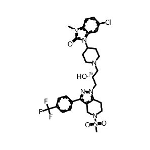 Cn1c(=O)n(C2CCN(C[C@@H](O)Cn3nc(-c4ccc(C(F)(F)F)cc4)c4c3CCN(S(C)(=O)=O)C4)CC2)c2cc(Cl)ccc21